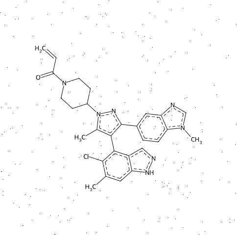 C=CC(=O)N1CCC(n2nc(-c3ccc4c(c3)ncn4C)c(-c3c(Cl)c(C)cc4[nH]ncc34)c2C)CC1